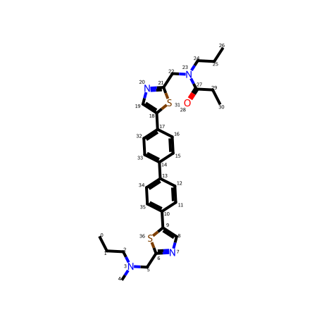 CCCN(C)Cc1ncc(-c2ccc(-c3ccc(-c4cnc(CN(CCC)C(=O)CC)s4)cc3)cc2)s1